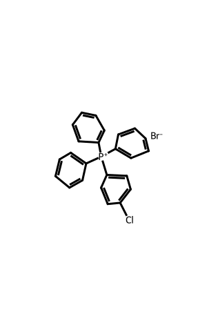 Clc1ccc([P+](c2ccccc2)(c2ccccc2)c2ccccc2)cc1.[Br-]